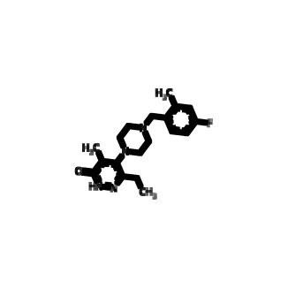 CCc1n[nH]c(=O)c(C)c1N1CCN(Cc2ccc(F)cc2C)CC1